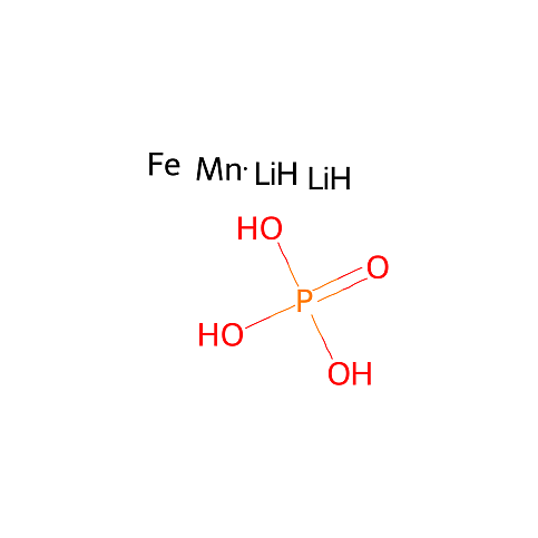 O=P(O)(O)O.[Fe].[LiH].[LiH].[Mn]